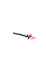 CCCCCCCCCC/C(C)=C(\C)C(=O)O